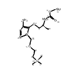 C[C@@H](COc1c(N)cnn1COCC[Si](C)(C)C)NC(=O)OC(C)(C)C